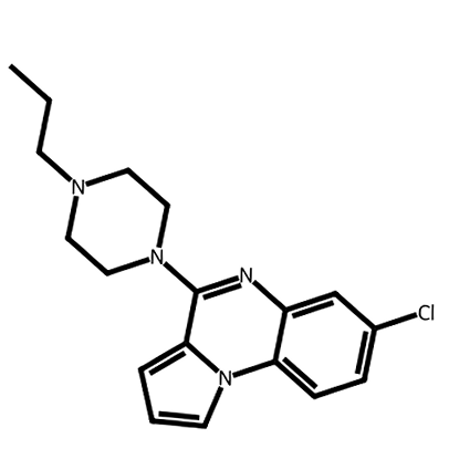 CCCN1CCN(c2nc3cc(Cl)ccc3n3cccc23)CC1